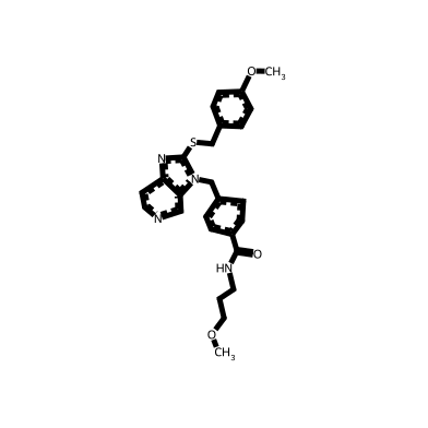 COCCCNC(=O)c1ccc(Cn2c(SCc3ccc(OC)cc3)nc3ccncc32)cc1